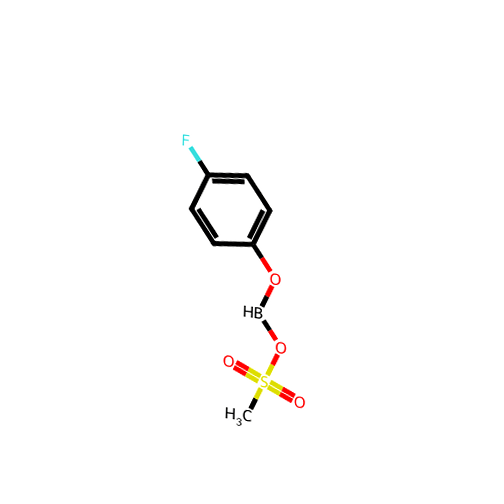 CS(=O)(=O)OBOc1ccc(F)cc1